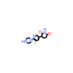 O=C1CCC(c2cnc(N3CCNCC3)c(F)c2)C(=O)N1